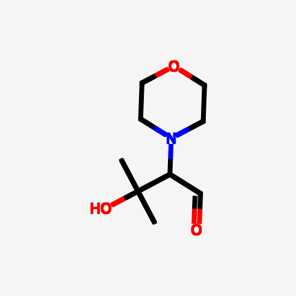 CC(C)(O)C(C=O)N1CCOCC1